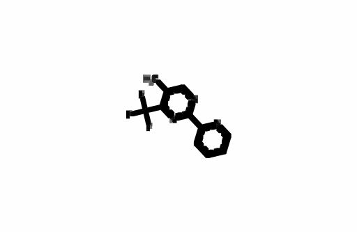 Cc1cnc(-c2ccccn2)nc1C(F)(F)F